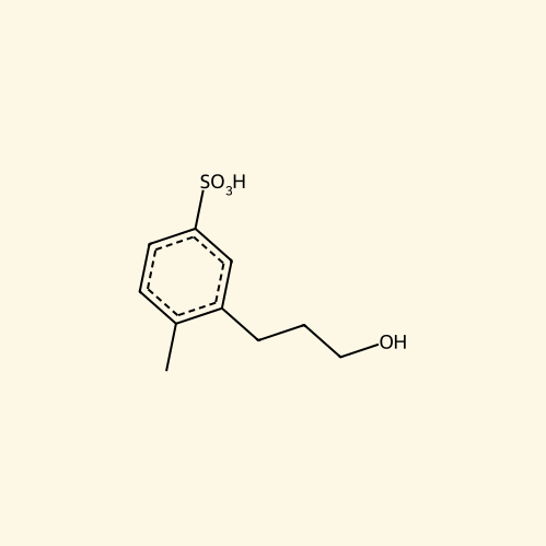 Cc1ccc(S(=O)(=O)O)cc1CCCO